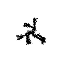 CCCCC(CCC)OC(=O)CCCCCCCCN(CCCCCCCCC(=O)OC(CCC)CCCC)CCC(C)OC(=O)C1CC(C(=O)OC(C)CCN(CCCCCCCCC(=O)OC(CCC)CCCC)CCCC(C)CCCCC(=O)OC(CCC)CCCC)C[C@H](C(=O)OC(C)CCN(CCCCCCCCC(=O)OC(CCC)CCCC)CCCCCCCCC(=O)OC(CCC)CCCC)C1